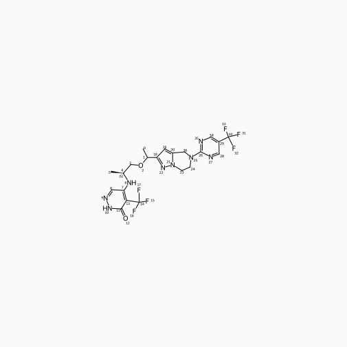 CC(OC[C@H](C)Nc1cn[nH]c(=O)c1C(F)(F)F)c1cc2n(n1)CCN(c1ncc(C(F)(F)F)cn1)C2